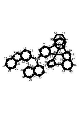 c1ccc2c(c1)-c1ccc(N(c3ccc4sc5ccccc5c4c3)c3cccc4ccccc34)cc1C21c2ccccc2-c2cccc3ccc(C4CCCCC4)c1c23